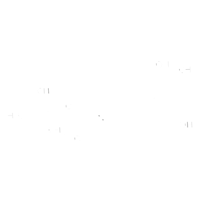 CCC(CO)(CO)C1CN(C(=O)OC(C)(C)C)C1